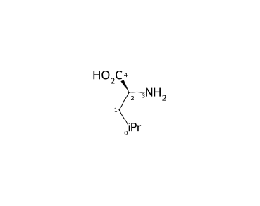 CC(C)C[C@H](N)[13C](=O)O